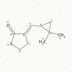 CC1(C)[CH]C1C=C1CCSC1=O